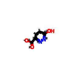 [O]C(=O)c1ccc(O)nn1